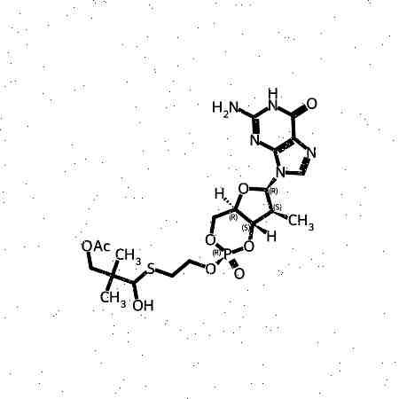 CC(=O)OCC(C)(C)C(O)SCCO[P@@]1(=O)OC[C@H]2O[C@@H](n3cnc4c(=O)[nH]c(N)nc43)[C@@H](C)[C@@H]2O1